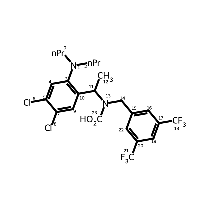 CCCN(CCC)c1cc(Cl)c(Cl)cc1C(C)N(Cc1cc(C(F)(F)F)cc(C(F)(F)F)c1)C(=O)O